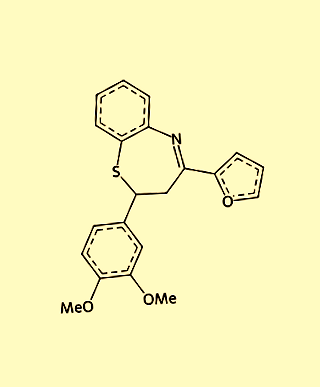 COc1ccc(C2CC(c3ccco3)=Nc3ccccc3S2)cc1OC